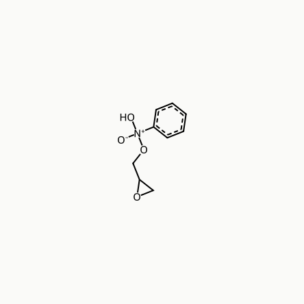 [O-][N+](O)(OCC1CO1)c1ccccc1